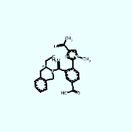 CC[C@@H]1Cc2ccccc2CN1C(=O)c1cc(C(=O)O)ccc1-c1nc(C(C)=O)cn1C